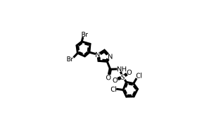 O=C(NS(=O)(=O)c1c(Cl)cccc1Cl)c1cn(-c2cc(Br)cc(Br)c2)cn1